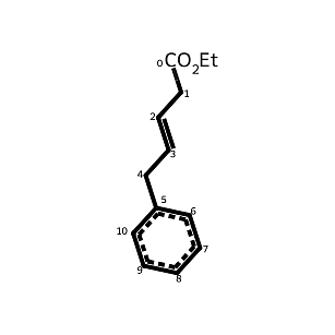 CCOC(=O)CC=CCc1ccccc1